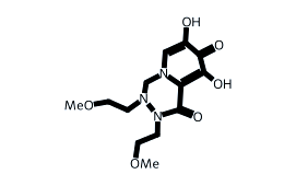 COCCN1Cn2cc(O)c(=O)c(O)c2C(=O)N1CCOC